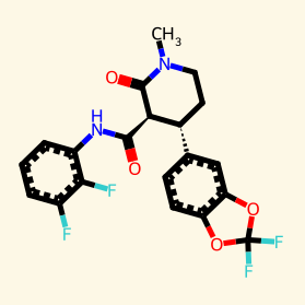 CN1CC[C@H](c2ccc3c(c2)OC(F)(F)O3)[C@@H](C(=O)Nc2cccc(F)c2F)C1=O